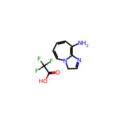 NC1=C2N=CCN2C=CC=C1.O=C(O)C(F)(F)F